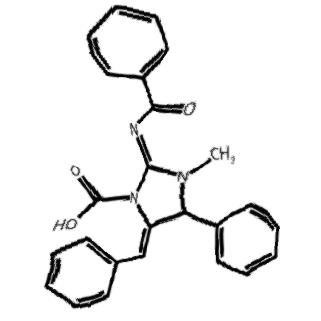 CN1C(=NC(=O)c2ccccc2)N(C(=O)O)C(=Cc2ccccc2)C1c1ccccc1